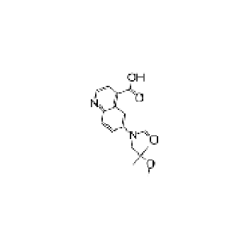 COC(C)(C)CN(C=O)c1ccc2nccc(C(=O)O)c2c1